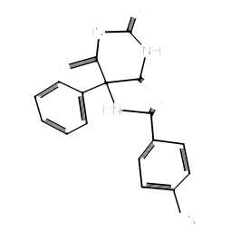 N#Cc1ccc(C(=O)NC2(c3ccccc3)C(=O)NC(=O)NC2=O)cc1